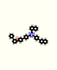 c1ccc(-c2cccc3c2oc2cc(-c4ccc(-c5nc(-c6ccc(-c7ccc8ccccc8c7)cc6)nc(-c6cccc7ccccc67)n5)cc4)ccc23)cc1